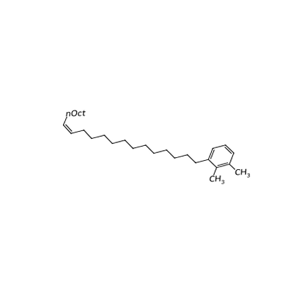 CCCCCCCC/C=C\CCCCCCCCCCCCc1cccc(C)c1C